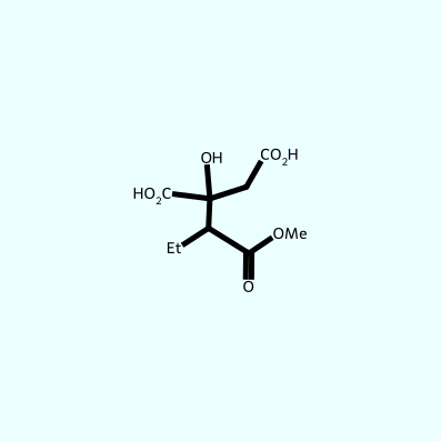 CCC(C(=O)OC)C(O)(CC(=O)O)C(=O)O